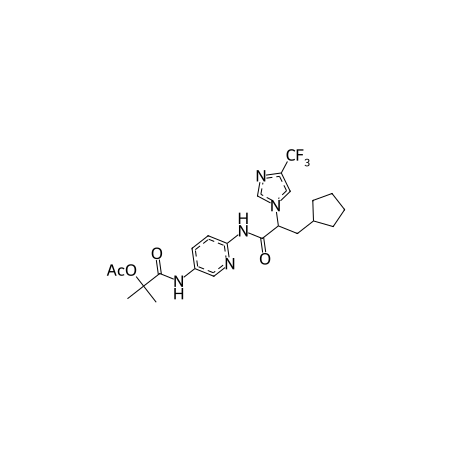 CC(=O)OC(C)(C)C(=O)Nc1ccc(NC(=O)C(CC2CCCC2)n2cnc(C(F)(F)F)c2)nc1